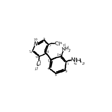 Nc1cccc(-c2c(Cl)cncc2Cl)c1N